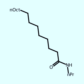 CCCCCCCCCCCCCCCC(=O)NCCC